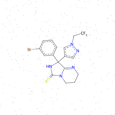 FC(F)(F)Cn1cc(C2(c3cccc(Br)c3)NC(=S)N3CCCN=C32)cn1